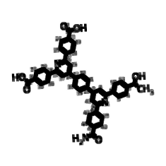 CC(O)c1ccc(-c2cc(-c3ccc(-c4cc(-c5ccc(C(=O)O)cc5)nc(-c5ccc(C(=O)O)cc5)c4)cc3)cc(-c3ccc(C(N)=O)cc3)n2)cc1